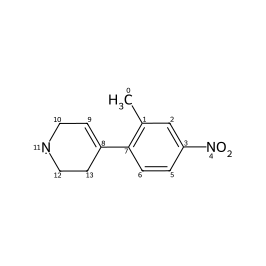 Cc1cc([N+](=O)[O-])ccc1C1=CC[N]CC1